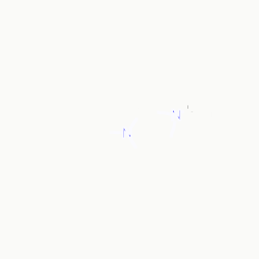 CN1[C]N(c2ccccc2)C=C1